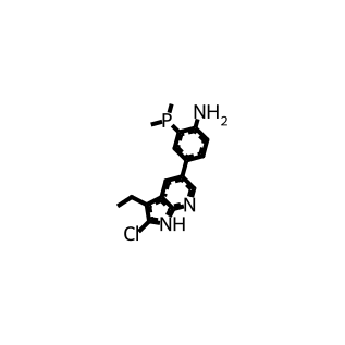 CCc1c(Cl)[nH]c2ncc(-c3ccc(N)c(P(C)C)c3)cc12